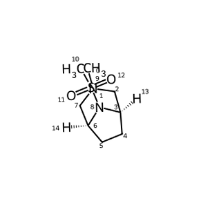 CN1C[C@H]2CC[C@@H](C1)N2S(C)(=O)=O